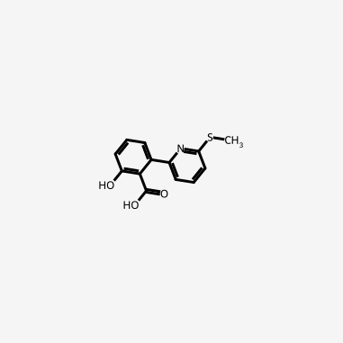 CSc1cccc(-c2cccc(O)c2C(=O)O)n1